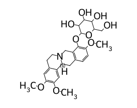 COc1cc2c(cc1OC)[C@@H]1Cc3ccc(OC)c(OC4OC(CO)C(O)C(O)C4O)c3CN1CC2